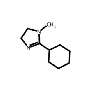 CN1CCN=C1C1CCCCC1